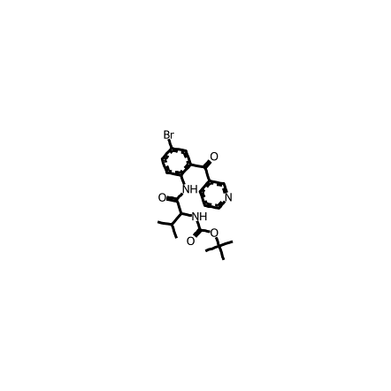 CC(C)C(NC(=O)OC(C)(C)C)C(=O)Nc1ccc(Br)cc1C(=O)c1cccnc1